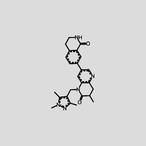 Cc1nn(C)c(C)c1CN1C(=O)C(C)Cc2ncc(-c3ccc4c(c3)C(=O)NCC4)cc21